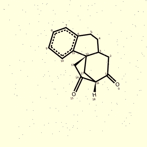 O=C1CC2CCc3ccccc3[C@]23CC(=O)[C@@H]1C3